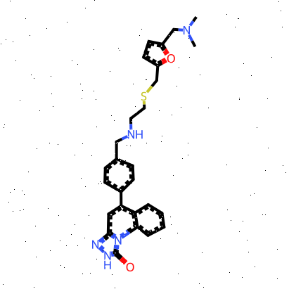 CN(C)Cc1ccc(CSCCNCc2ccc(-c3cc4n[nH]c(=O)n4c4ccccc34)cc2)o1